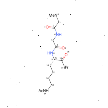 CNCC(=O)NCC(=O)N[C@@H](CCCCNC(C)=O)C(=O)C(C)C